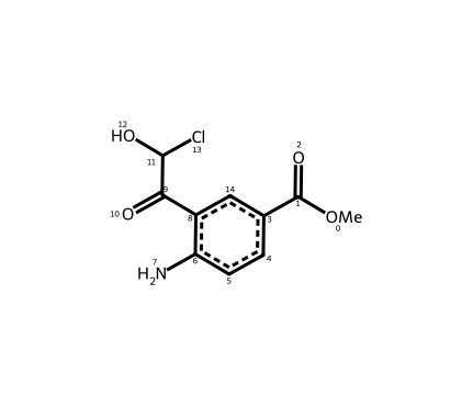 COC(=O)c1ccc(N)c(C(=O)C(O)Cl)c1